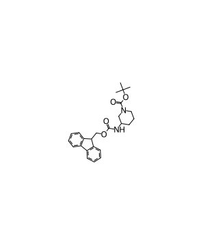 CC(C)(C)OC(=O)N1CCCC(NC(=O)OCC2c3ccccc3-c3ccccc32)C1